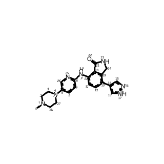 CN1CCN(c2ccc(Nc3ccc(-c4cn[nH]c4)c4c3C(=O)NC4)nc2)CC1